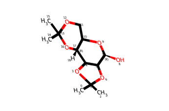 CC1(C)OC2C(O1)[C@H](O)OC1COC(C)(C)O[C@H]12